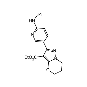 CCOC(=O)c1c(-c2ccc(NC(C)C)nc2)nn2c1OCCC2